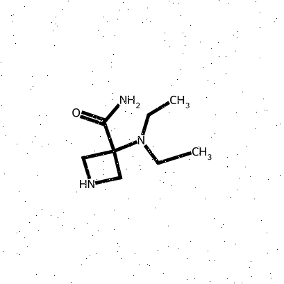 CCN(CC)C1(C(N)=O)CNC1